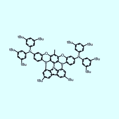 Cc1c2c3c4c5c1Oc1cc(N(c6cc(C(C)(C)C)cc(C(C)(C)C)c6)c6cc(C(C)(C)C)cc(C(C)(C)C)c6)ccc1B5c1cc(C(C)(C)C)cc5c6cc(C(C)(C)C)cc(c6n-4c15)B3c1ccc(N(c3cc(C(C)(C)C)cc(C(C)(C)C)c3)c3cc(C(C)(C)C)cc(C(C)(C)C)c3)cc1O2